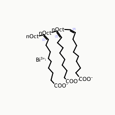 CCCCCCCC/C=C\CCCCCCCC(=O)[O-].CCCCCCCC/C=C\CCCCCCCC(=O)[O-].CCCCCCCC/C=C\CCCCCCCC(=O)[O-].[Bi+3]